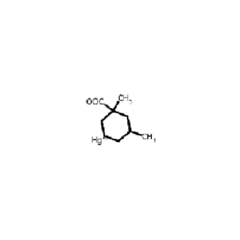 CC1CCCC(C)(C(=O)[O-])C1.[Hg+]